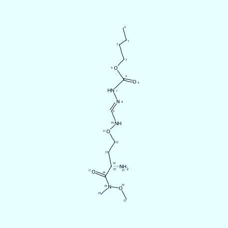 CCCCOC(=O)NN=CNOCC[C@H](N)C(=O)N(C)OC